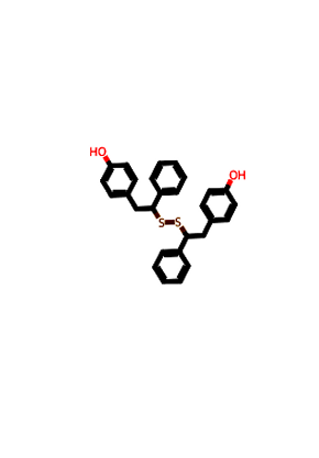 Oc1ccc(CC(SSC(Cc2ccc(O)cc2)c2ccccc2)c2ccccc2)cc1